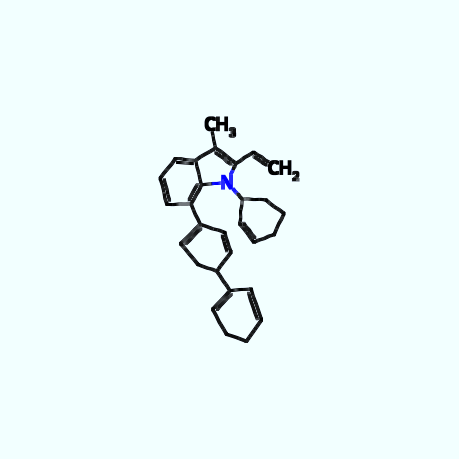 C=Cc1c(C)c2cccc(C3=CCC(C4=CCCC=C4)C=C3)c2n1C1C=CCCC1